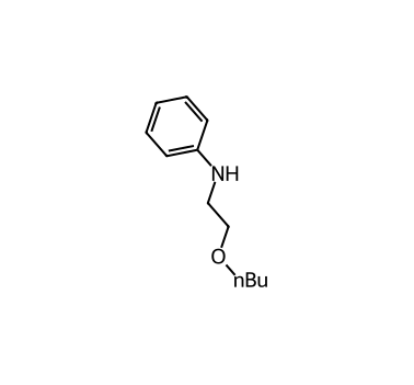 CCCCOCCNc1ccccc1